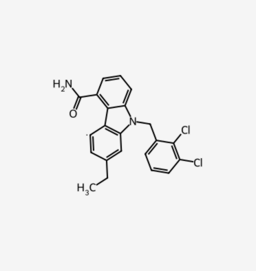 CCc1c[c]c2c3c(C(N)=O)cccc3n(Cc3cccc(Cl)c3Cl)c2c1